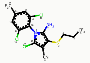 N#Cc1c(SCCC(F)(F)F)c(N)n(-c2c(Cl)cc(C(F)(F)F)cc2Cl)c1Cl